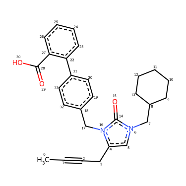 CC#CCc1cn(CC2CCCCC2)c(=O)n1Cc1ccc(-c2ccccc2C(=O)O)cc1